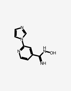 N=C(NO)c1ccnc(-n2ccnc2)c1